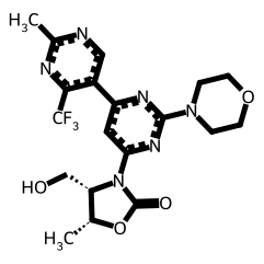 Cc1ncc(-c2cc(N3C(=O)O[C@H](C)[C@@H]3CO)nc(N3CCOCC3)n2)c(C(F)(F)F)n1